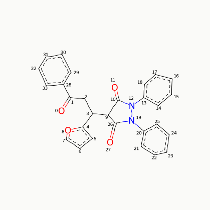 O=C(CC(c1ccco1)C1C(=O)N(c2ccccc2)N(c2ccccc2)C1=O)c1ccccc1